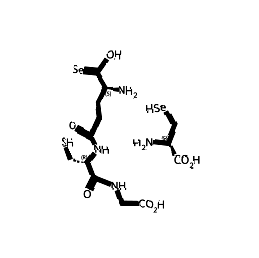 N[C@@H](CCC(=O)N[C@@H](CS)C(=O)NCC(=O)O)C(O)=[Se].N[C@@H](C[SeH])C(=O)O